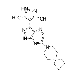 Cc1n[nH]c(C)c1-c1n[nH]c2nc(N3CCC4(CCCC4)CC3)cnc12